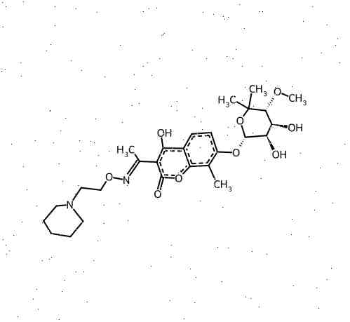 CO[C@@H]1[C@@H](O)[C@@H](O)[C@H](Oc2ccc3c(O)c(/C(C)=N/OCCN4CCCCC4)c(=O)oc3c2C)OC1(C)C